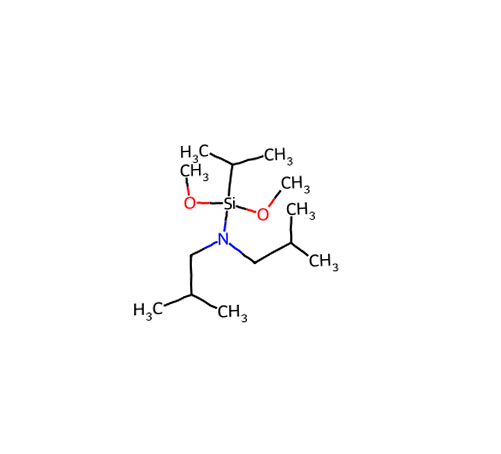 CO[Si](OC)(C(C)C)N(CC(C)C)CC(C)C